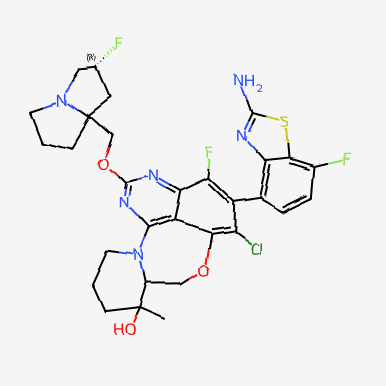 CC1(O)CCCN2c3nc(OCC45CCCN4C[C@H](F)C5)nc4c(F)c(-c5ccc(F)c6sc(N)nc56)c(Cl)c(c34)OCC21